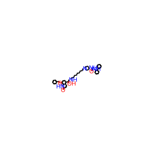 O=C(Nc1ccccc1-c1ccccc1)NC1CCN(CCCCCCCCCNCC(O)c2ccc(OCc3ccccc3)c3[nH]c(=O)ccc23)CC1